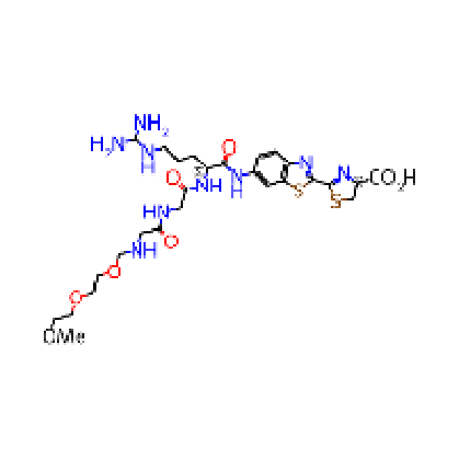 COCCOCCOCNCC(=O)NCC(=O)N[C@@H](CCCNC(N)N)C(=O)Nc1ccc2nc(C3=N[C@@H](C(=O)O)CS3)sc2c1